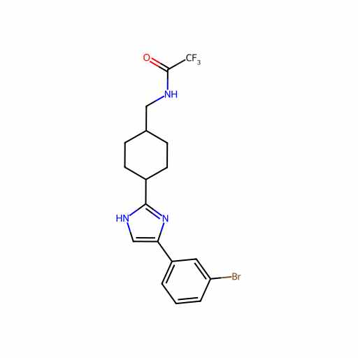 O=C(NCC1CCC(c2nc(-c3cccc(Br)c3)c[nH]2)CC1)C(F)(F)F